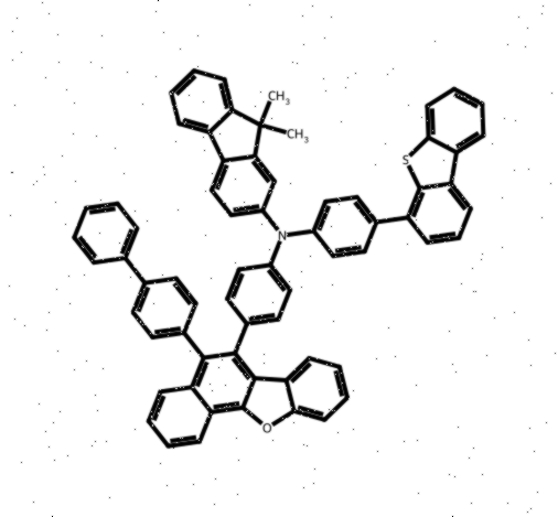 CC1(C)c2ccccc2-c2ccc(N(c3ccc(-c4cccc5c4sc4ccccc45)cc3)c3ccc(-c4c(-c5ccc(-c6ccccc6)cc5)c5ccccc5c5oc6ccccc6c45)cc3)cc21